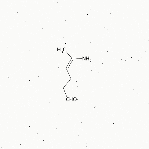 CC(N)=CCC[C]=O